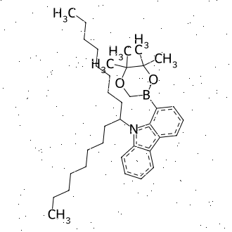 CCCCCCCCC(CCCCCCCC)n1c2ccccc2c2cccc(B3COC(C)(C)C(C)(C)O3)c21